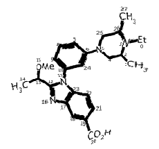 CCN1C(C)CN(c2cccc(-n3c(C(C)OC)nc4cc(C(=O)O)ccc43)c2)CC1C